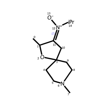 CC1OC2(CCN(C)CC2)C/C1=[N+](/[O-])C(C)C